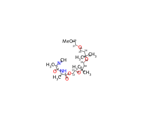 C#[N+]C(C)C(=O)NC(C)C(=O)OCCOC(C)(C)CCOC(C)(C)CCOCCOC